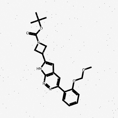 COCOc1ccccc1-c1cc2cc(C3CN(C(=O)OC(C)(C)C)C3)[nH]c2nn1